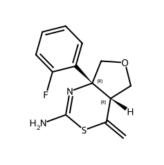 C=C1SC(N)=N[C@]2(c3ccccc3F)COC[C@H]12